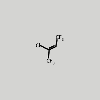 FC(F)(F)C=C(Cl)C(F)(F)F